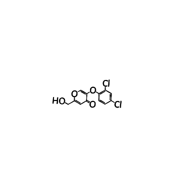 O=c1cc(CO)occ1Oc1ccc(Cl)cc1Cl